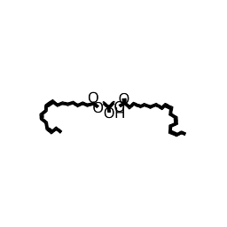 CC/C=C\C/C=C\C/C=C\CCCCCCCC(=O)OCC(O)COC(=O)CCCCCCC/C=C\C/C=C\C/C=C\CC